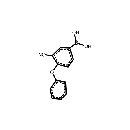 N#Cc1cc(B(O)O)ccc1Oc1ccccc1